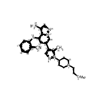 COCCN1CCC(n2ncc(-c3cc(Sc4ccccc4C#N)c4c(N)cnn4c3)c2C)CC1